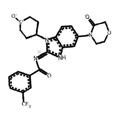 O=C(/N=c1\[nH]c2cc(N3CCOCC3=O)ccc2n1C1CC[S+]([O-])CC1)c1cccc(C(F)(F)F)c1